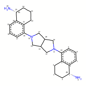 N[C@@H]1CCCc2c1cccc2N1CC2CN(c3cccc4c3CCC[C@H]4N)CC2C1